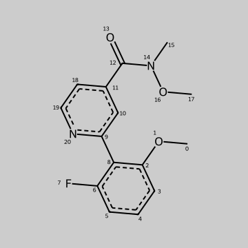 COc1cccc(F)c1-c1cc(C(=O)N(C)OC)ccn1